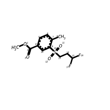 COC(=O)c1ccc(C)c(S(=O)(=O)CCC(F)F)c1